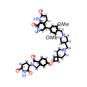 COc1cc(-c2cn(C)c(=O)c3c2CCC(=O)N3)cc(OC)c1CN1CCC(CN2CCC3(CC2)CC(Oc2ccc4c(c2)CN(C2CCC(=O)NC2=O)C4=O)C3)CC1